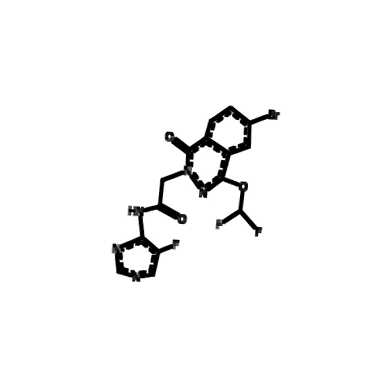 O=C(Cn1nc(OC(F)F)c2cc(Br)ccc2c1=O)Nc1ncncc1F